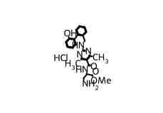 COC(=O)C(CN)NC(=O)c1c(C)nc(NCc2ccccc2-c2ccccc2O)nc1C.Cl